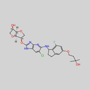 CC(C)(O)CCOc1cc(F)c2c(c1)CCC2Nc1nc2nc(O[C@@H]3CO[C@H]4[C@@H]3OC[C@H]4O)[nH]c2cc1Cl